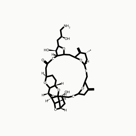 C=C1CC2CC[C@@]3(O)C[C@@H]4OC5[C@@H]4[C@@H]4O[C@H]6CC[C@H](CC(=O)C[C@H]7C(CC8O[C@@H](CCC1O2)C[C@@H](C)C8=C)OC(C[C@H](O)CN)[C@@H]7O)OC6[C@H](O3)[C@H]54